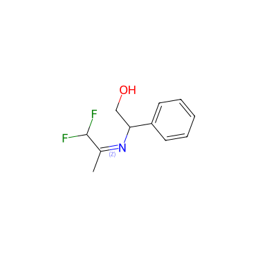 C/C(=N/C(CO)c1ccccc1)C(F)F